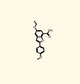 CCOc1cc(C(=O)O)c2oc(-c3ccc(OC)cc3)cc2c1